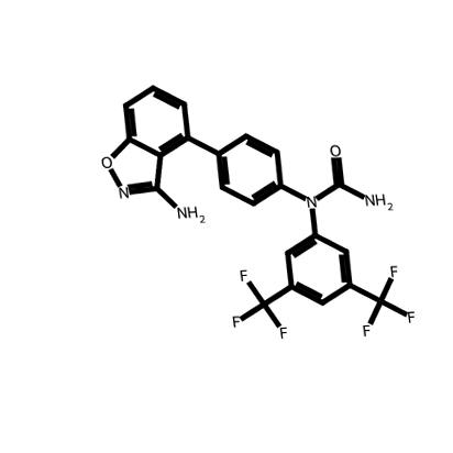 NC(=O)N(c1ccc(-c2cccc3onc(N)c23)cc1)c1cc(C(F)(F)F)cc(C(F)(F)F)c1